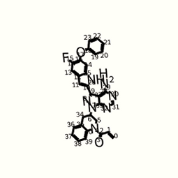 C=CC(=O)N1CC(n2nc(-c3cc4cc(F)c(Oc5ccccc5)cc4[nH]3)c3c(N)ncnc32)Cc2ccccc21